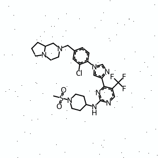 CS(=O)(=O)N1CCC(Nc2ncc(C(F)(F)F)c(-c3cn(-c4ccc(CN5CCN6CCCC6C5)cc4Cl)cn3)n2)CC1